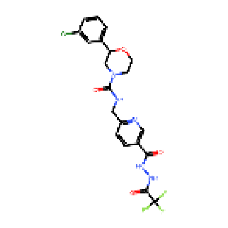 O=C(NNC(=O)C(F)(F)F)c1ccc(CNC(=O)N2CCOC(c3cccc(Cl)c3)C2)nc1